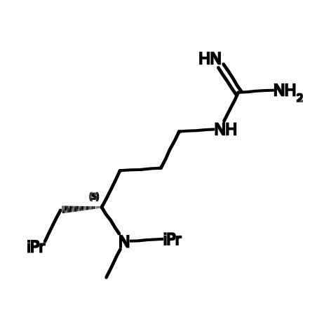 CC(C)C[C@H](CCCNC(=N)N)N(C)C(C)C